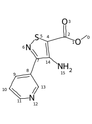 COC(=O)c1snc(-c2cccnc2)c1N